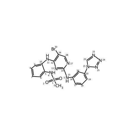 CS(=O)(=O)Nc1ccccc1Nc1nc(Nc2cccc(-n3cnnn3)c2)ncc1Br